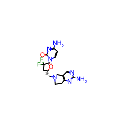 Nc1ccn([C@@H]2O[C@H](CN3CCc4nc(N)ncc4C3)CC2(F)F)c(=O)n1